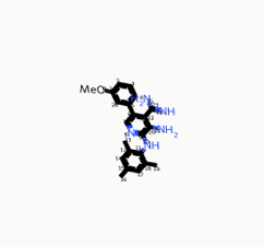 COc1cccc(-c2cnc(Nc3c(C)cc(C)cc3C)c(N)c2C(=N)N)c1